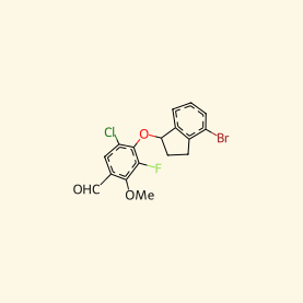 COc1c(C=O)cc(Cl)c(OC2CCc3c(Br)cccc32)c1F